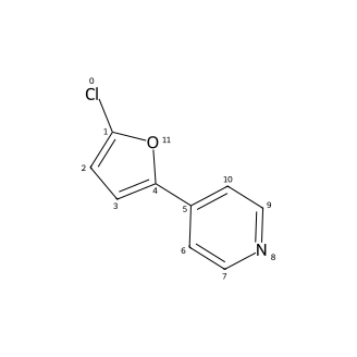 Clc1ccc(-c2ccncc2)o1